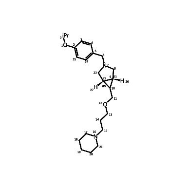 CC(C)Oc1ccc(CN2C[C@@H]3C(COCCCN4CCCCC4)[C@@H]3C2)cc1